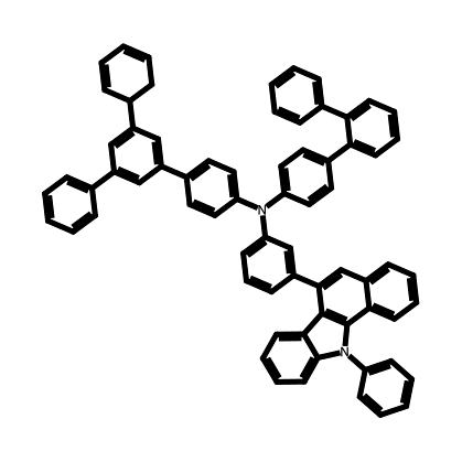 C1=CCC(c2cc(-c3ccccc3)cc(-c3ccc(N(c4ccc(-c5ccccc5-c5ccccc5)cc4)c4cccc(-c5cc6ccccc6c6c5c5ccccc5n6-c5ccccc5)c4)cc3)c2)C=C1